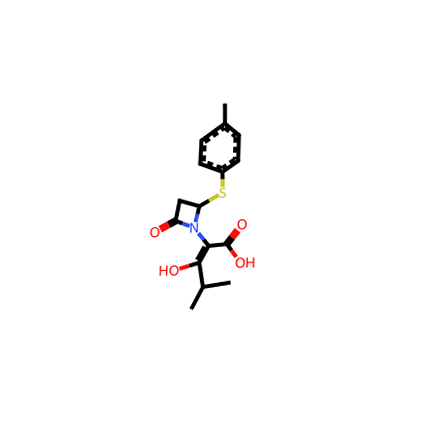 Cc1ccc(SC2CC(=O)N2C(C(=O)O)=C(O)C(C)C)cc1